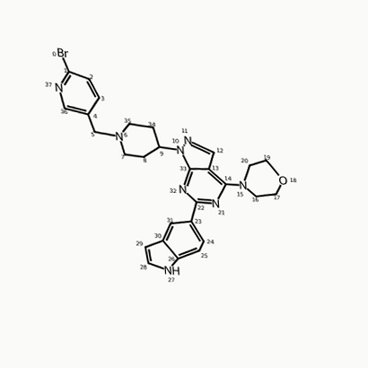 Brc1ccc(CN2CCC(n3ncc4c(N5CCOCC5)nc(-c5ccc6[nH]ccc6c5)nc43)CC2)cn1